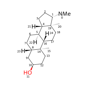 CN[C@H]1CC[C@H]2[C@@H]3CC[C@H]4C[C@H](O)CC[C@]4(C)[C@H]3CC[C@]12C